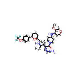 C=C(NC[C@@H]1CCC[C@H](c2ccc(OC(F)(F)F)cc2)O1)/C(C)=C(\N=C/N)C(=O)N1CCC(N[C@@H]2CCOC[C@@H]2OC)CC1